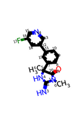 CN1C(=N)NC(C)(c2cccc(-c3cncc(F)c3)c2)C1=O